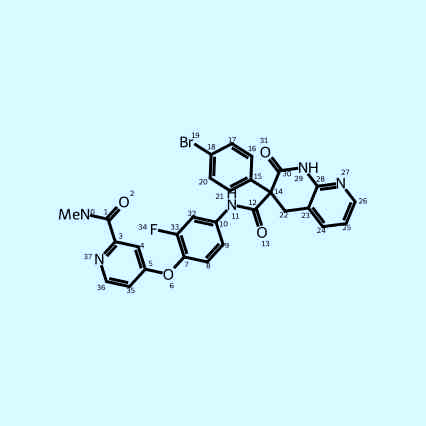 CNC(=O)c1cc(Oc2ccc(NC(=O)C3(c4ccc(Br)cc4)Cc4cccnc4NC3=O)cc2F)ccn1